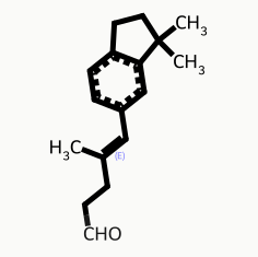 C/C(=C\c1ccc2c(c1)C(C)(C)CC2)CCC=O